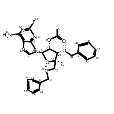 CC(=O)O[C@H]1[C@H](n2cnc3c(N)nc(F)nc32)O[C@](C)(COCc2ccccc2)[C@H]1OCc1ccccc1